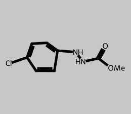 COC(=O)NNc1ccc(Cl)cc1